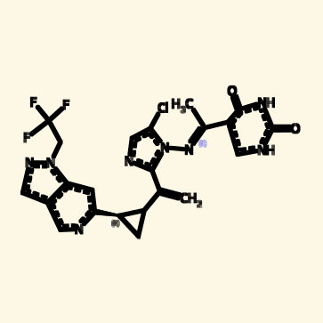 C=C(c1ncc(Cl)n1/N=C(\C)c1c[nH]c(=O)[nH]c1=O)C1C[C@H]1c1cc2c(cn1)cnn2CC(F)(F)F